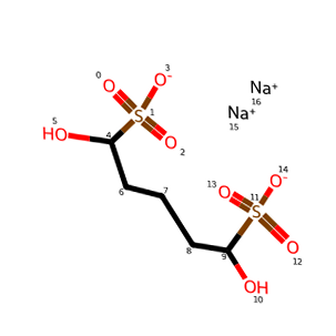 O=S(=O)([O-])C(O)CCCC(O)S(=O)(=O)[O-].[Na+].[Na+]